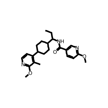 CCC(NC(=O)c1ccc(OC)nc1)C1CCC(c2ccnc(OC)c2C)CC1